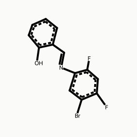 Oc1ccccc1/C=N/c1cc(Br)c(F)cc1F